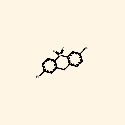 CC(C)c1ccc2c(c1)Cc1ccc(C(C)C)cc1S2(=O)=O